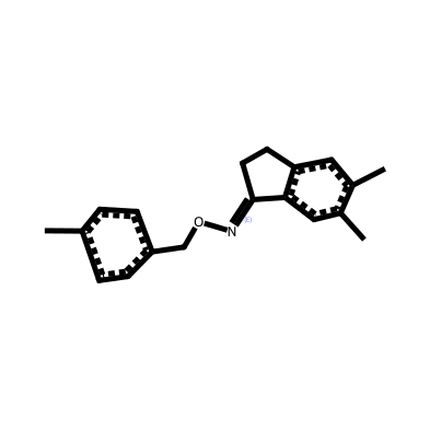 Cc1ccc(CO/N=C2\CCc3cc(C)c(C)cc32)cc1